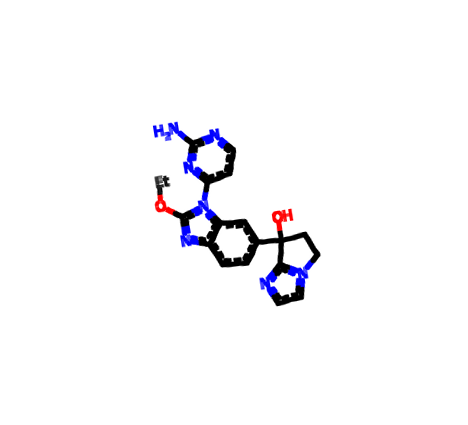 CCOc1nc2ccc(C3(O)CCn4ccnc43)cc2n1-c1ccnc(N)n1